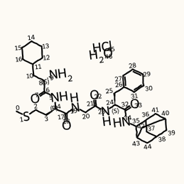 CSCC[C@@H](NC(=O)[C@@H](N)CC1CCCCC1)C(=O)NCC(=O)N[C@@H](Cc1ccccc1)C(=O)NC1C2CC3CC(C2)CC1C3.Cl.O